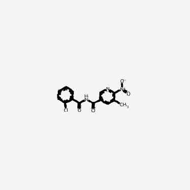 Cc1cc(C(=O)NC(=O)c2ccccc2Cl)cnc1[N+](=O)[O-]